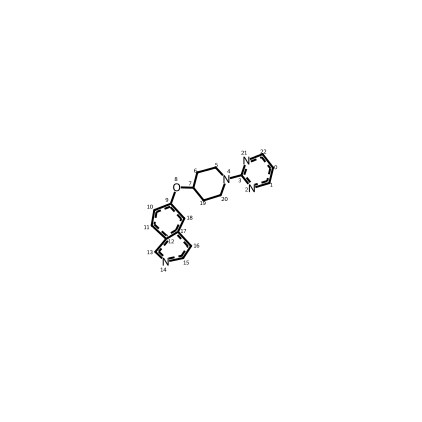 c1cnc(N2CCC(Oc3ccc4cnccc4c3)CC2)nc1